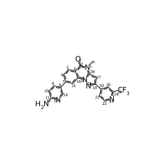 Cn1c(=O)c2ccc(-c3ccc(N)nc3)cc2n2nc(-c3ccnc(C(F)(F)F)c3)cc12